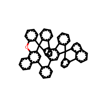 c1ccc2c(c1)Oc1c(cc(-c3ccccc3-c3ccc4c(c3)C3(c5ccccc5-4)c4ccccc4-c4cccc5cccc3c45)c3ccccc13)C21c2ccccc2-c2ccccc21